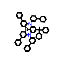 CC(c1ccccc1)(c1cc2c3c(c1)N(C1=CC(C4C=CC=CC4)CCC1)c1cc(-c4ccccc4)ccc1B3C1CC=C(c3ccccc3)C=C1N2C1=CC=CC(c2ccccc2)C1)C1C=CCCC1